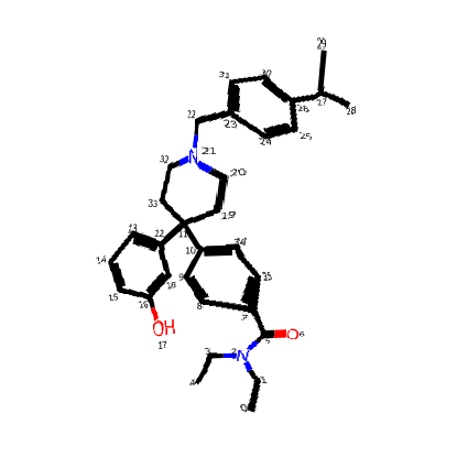 CCN(CC)C(=O)c1ccc(C2(c3cccc(O)c3)CCN(Cc3ccc(C(C)C)cc3)CC2)cc1